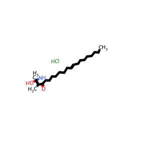 CCCCCCCCC=CCCCCCCCC(=O)C(C)C(C)(N)O.Cl